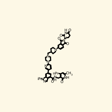 CCCc1cc(C)[nH]c(=O)c1CNC(=O)c1cc(-c2ccc(N3CCN(CC4CCN(c5ccc6c(c5)C(=O)N(N5CCC(=O)NC5=O)C6=O)CC4)CC3)nc2)cc2c1cnn2C(C)C